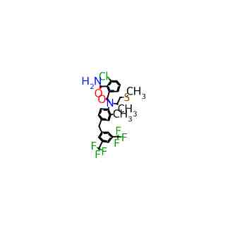 CSCC(C)N(C(=O)c1cccc(Cl)c1C(N)=O)c1ccc(Cc2cc(C(F)(F)F)cc(C(F)(F)F)c2)cc1C